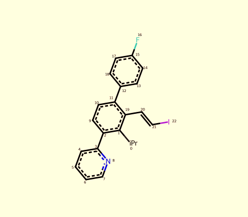 CC(C)c1c(-c2ccccn2)ccc(-c2ccc(F)cc2)c1C=CI